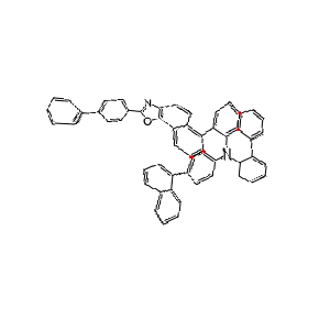 C1=CCC(N(c2ccc(-c3cccc4ccccc34)cc2)c2ccccc2-c2cccc3c2ccc2nc(-c4ccc(-c5ccccc5)cc4)oc23)C(c2ccccc2)=C1